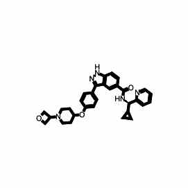 O=C(N[C@@H](c1ccccn1)C1CC1)c1ccc2[nH]nc(-c3ccc(OC4CCN(C5COC5)CC4)cc3)c2c1